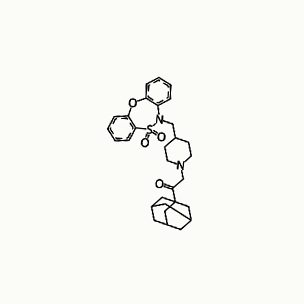 O=C(CN1CCC(CN2c3ccccc3Oc3ccccc3S2(=O)=O)CC1)C12CC3CC(CC(C3)C1)C2